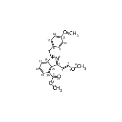 COC=Cc1nn(Cc2ccc(OC)cc2)c2cccc(C(=O)OC)c12